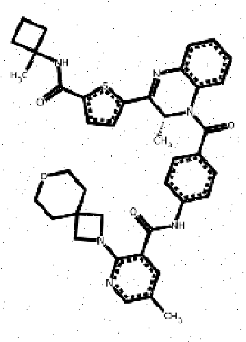 Cc1cnc(N2CC3(CCOCC3)C2)c(C(=O)Nc2ccc(C(=O)N3c4ccccc4N=C(c4ccc(C(=O)NC5(C)CCC5)s4)[C@H]3C)cc2)c1